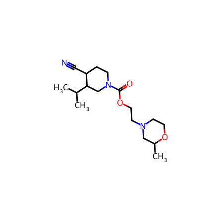 CC1CN(CCOC(=O)N2CCC(C#N)C(C(C)C)C2)CCO1